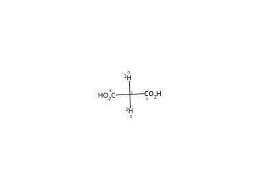 [2H]C([2H])(C(=O)O)C(=O)O